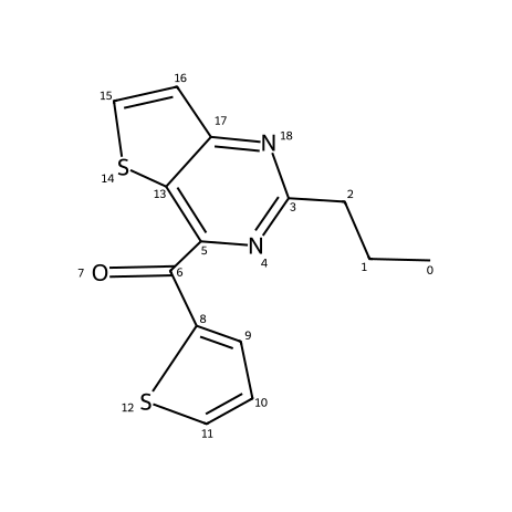 CCCc1nc(C(=O)c2cccs2)c2sccc2n1